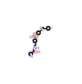 O=S(=O)(Nc1ccc(CCNC[C@H](O)c2cccnc2)cc1)c1ccc(-c2ncc(-c3ccc(F)cc3)s2)cc1